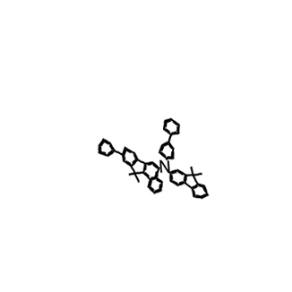 CC1(C)c2ccccc2-c2ccc(N(c3ccc(-c4ccccc4)cc3)c3cc4c(c5ccccc35)C(C)(C)c3cc(-c5ccccc5)ccc3-4)cc21